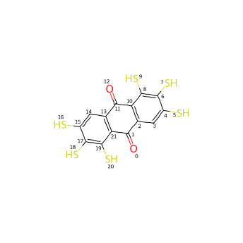 O=C1c2cc(S)c(S)c(S)c2C(=O)c2cc(S)c(S)c(S)c21